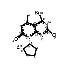 Cc1cc(=O)n([C@@H]2CCC[C@@H]2C)c2nc(Cl)nc(Br)c12